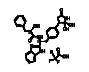 O=C(O)C(F)(F)F.O=C1CC(c2ccc(C[C@H](NC(=O)[C@@H](O)Cc3ccccc3)c3nc4ccccc4[nH]3)cc2)S(O)(O)N1